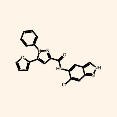 O=C(Nc1cc2c[nH]nc2cc1Cl)c1cc(-c2ccco2)n(-c2ccccc2)n1